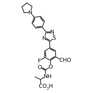 CC(NC(=O)Oc1c(F)cc(-c2nc(-c3ccc(N4CCCC4)cc3)ns2)cc1C=O)C(=O)O